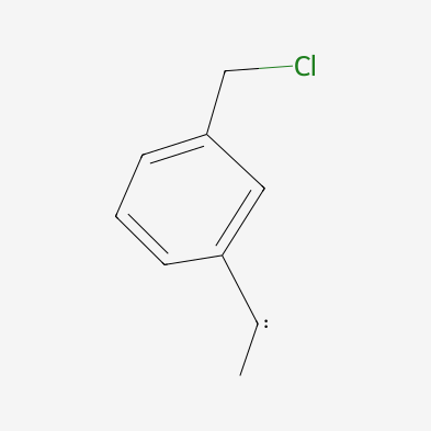 C[C]c1cccc(CCl)c1